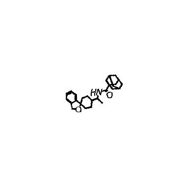 CC(NC(=O)C12CC3CC(CC(C3)C1)C2)C1CCC2(CC1)OCc1ccccc12